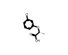 C[C@@H](Oc1cccc(Cl)c1)C(=O)O